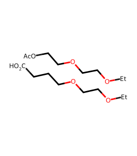 CCOCCOCCCC(=O)O.CCOCCOCCOC(C)=O